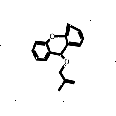 C=C(C)COC1c2ccccc2Oc2ccccc21